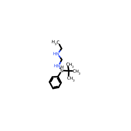 CCNCN[SiH](c1ccccc1)C(C)(C)C